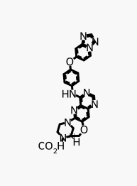 O=C(O)N1CCN2C[C@H]1COc1cc3ncnc(Nc4ccc(Oc5ccn6ncnc6c5)cc4)c3nc12